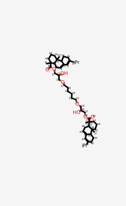 CC(C)C1=CC2=CCC3C(C)(C(=O)OCC(O)COCCCCCCOCC(O)COC(=O)C4(C)CCCC5(C)C6CCC(C(C)C)=CC6=CCC45)CCCC3(C)C2CC1